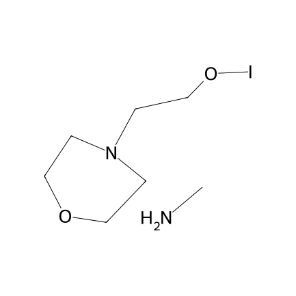 CN.IOCCN1CCOCC1